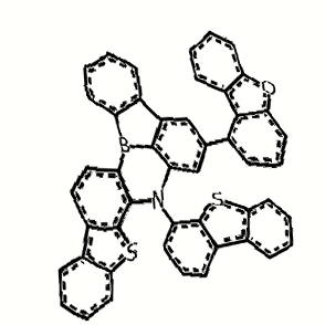 c1ccc2c(c1)B1c3ccc4c(sc5ccccc54)c3N(c3cccc4c3sc3ccccc34)c3cc(-c4cccc5oc6ccccc6c45)cc-2c31